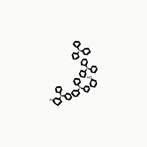 Oc1ccccc1.[Pd].c1ccc(P(c2ccccc2)c2ccccc2)cc1.c1ccc(P(c2ccccc2)c2ccccc2)cc1.c1ccc(P(c2ccccc2)c2ccccc2)cc1.c1ccc(P(c2ccccc2)c2ccccc2)cc1